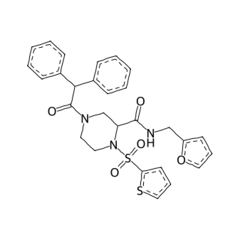 O=C(NCc1ccco1)C1CN(C(=O)C(c2ccccc2)c2ccccc2)CCN1S(=O)(=O)c1cccs1